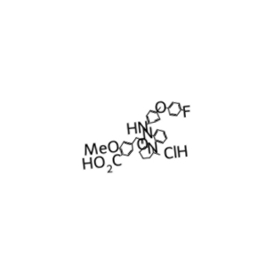 COc1cc(CC(=O)N(Nc2ccc(Oc3ccc(F)cc3)cc2)c2ccccc2N2CCCCC2C)ccc1C(=O)O.Cl